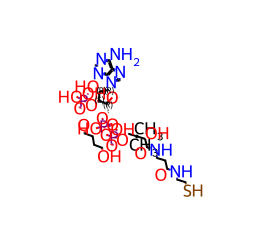 CC(C)(COP(=O)(O)OP(=O)(O)OC[C@H]1O[C@@H](n2cnc3c(N)ncnc32)[C@H](O)[C@@H]1OP(=O)(O)O)C(O)C(=O)NCCC(=O)NCCS.O=CCCCO